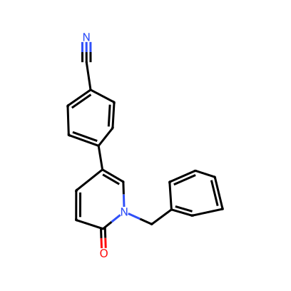 N#Cc1ccc(-c2ccc(=O)n(Cc3ccccc3)c2)cc1